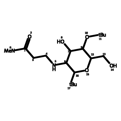 CNC(=O)CCNC1C(O)C(OC(C)(C)C)C(CO)OC1C(C)(C)C